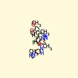 COc1ccc(C(C)(C)c2nnc(SC(C)(C)C(=O)Nc3ccc(-n4ccnc4C)cc3)n2-c2ccc(F)cc2)cc1OC